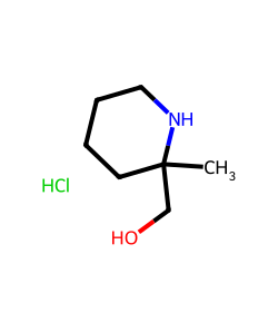 CC1(CO)CCCCN1.Cl